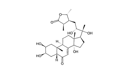 C[C@H]1OC(=O)[C@H](C)[C@@H]1C[C@@H](O)[C@](C)(O)[C@H]1CC[C@@]2(O)C3=CC(=O)[C@@H]4C[C@@H](O)[C@@H](O)C[C@]4(C)[C@H]3CC[C@]12C